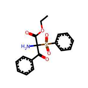 CCOC(=O)C(N)(C(=O)c1ccccc1)S(=O)(=O)c1ccccc1